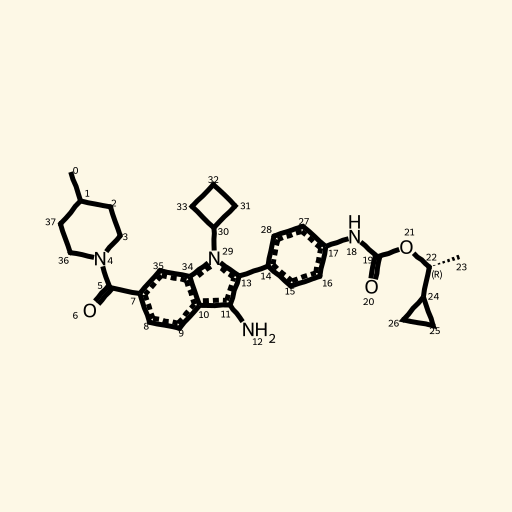 CC1CCN(C(=O)c2ccc3c(N)c(-c4ccc(NC(=O)O[C@H](C)C5CC5)cc4)n(C4CCC4)c3c2)CC1